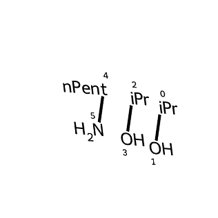 CC(C)O.CC(C)O.CCCCCN